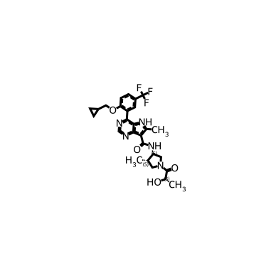 Cc1[nH]c2c(-c3cc(C(F)(F)F)ccc3OCC3CC3)ncnc2c1C(=O)N[C@@H]1CN(C(=O)[C@H](C)O)C[C@@H]1C